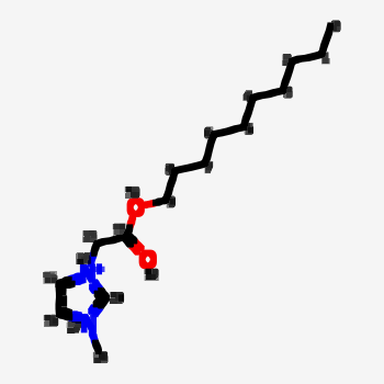 CCCCCCCCCCOC(=O)C[n+]1ccn(C)c1